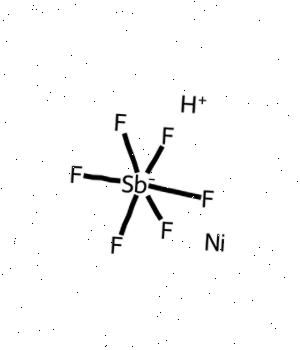 [F][Sb-]([F])([F])([F])([F])[F].[H+].[Ni]